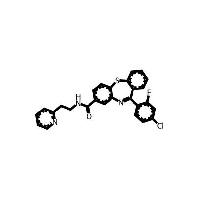 O=C(NCCc1ccccn1)c1ccc2c(c1)N=C(c1ccc(Cl)cc1F)c1ccccc1S2